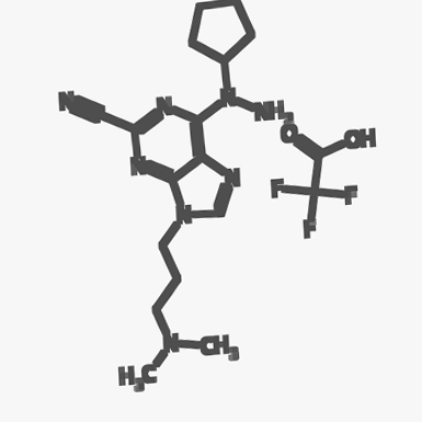 CN(C)CCCn1cnc2c(N(N)C3CCCC3)nc(C#N)nc21.O=C(O)C(F)(F)F